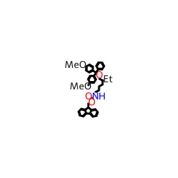 CCC(CCCCNC(=O)OCC1c2ccccc2-c2ccccc21)COC(c1ccccc1)(c1ccc(OC)cc1)c1ccc(OC)cc1